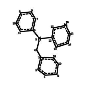 c1ccc(CN(c2ccccc2)c2cccnc2)cc1